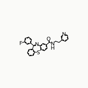 O=C(NCCc1cccnc1)c1ccc2c(c1)N=C(c1cccc(F)c1)c1ccccc1S2